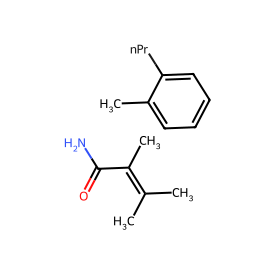 CC(C)=C(C)C(N)=O.CCCc1ccccc1C